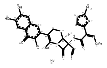 CO/N=C(\C(=O)N[C@]1(C=S)C(=O)N2C(C(=O)[O-])=C(c3sc4cc(O)c(O)cc4c(=O)c3Br)CS[C@H]21)c1csc(N)n1.[Na+]